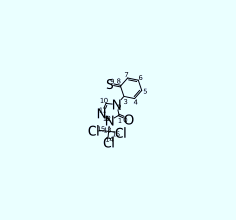 O=c1n(C2C=CC=CC2=S)cnn1C(Cl)(Cl)Cl